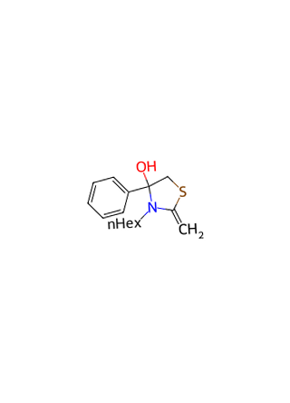 C=C1SCC(O)(c2ccccc2)N1CCCCCC